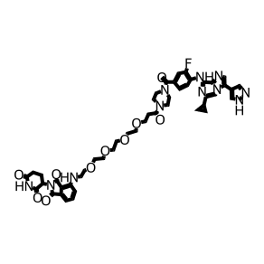 O=C1CCC(N2C(=O)c3cccc(NCCOCCOCCOCCOCCC(=O)N4CCN(C(=O)c5ccc(Nc6nc(C7CC7)cn7c(-c8cn[nH]c8)cnc67)c(F)c5)CC4)c3C2=O)C(=O)N1